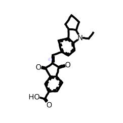 CCN1c2ccc(/C=C3\C(=O)c4ccc(C(=O)O)cc4C3=O)cc2C2CCCC21